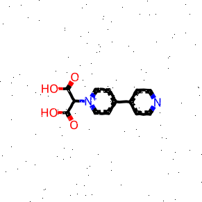 O=C(O)C(C(=O)O)[n+]1ccc(-c2ccncc2)cc1